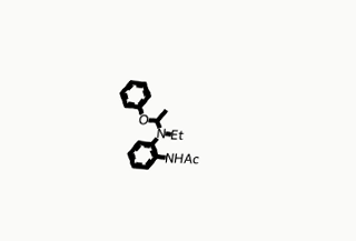 CCN(c1ccccc1NC(C)=O)C(C)Oc1ccccc1